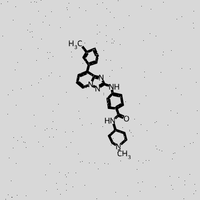 Cc1cccc(-c2cccn3nc(Nc4ccc(C(=O)NC5CCN(C)CC5)cc4)nc23)c1